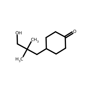 CC(C)(CO)CC1CCC(=O)CC1